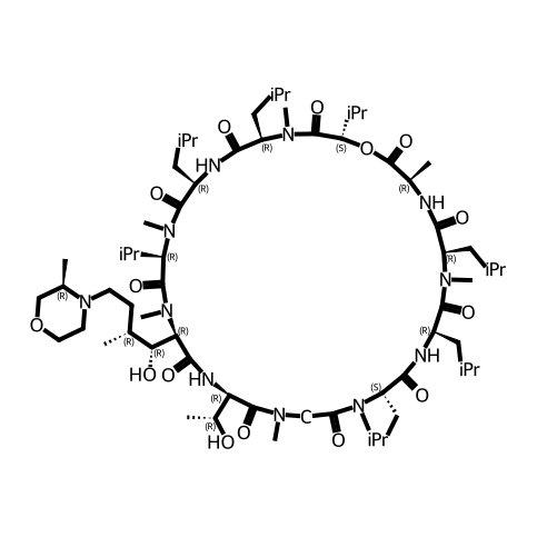 CC(C)C[C@@H]1C(=O)N[C@H](CC(C)C)C(=O)N(C)[C@H](C(C)C)C(=O)N(C)[C@H]([C@H](O)[C@H](C)CCN2CCOC[C@H]2C)C(=O)N[C@H]([C@@H](C)O)C(=O)N(C)CC(=O)N(C)[C@@H](CC(C)C)C(=O)N[C@H](CC(C)C)C(=O)N(C)[C@H](CC(C)C)C(=O)N[C@H](C)C(=O)O[C@@H](C(C)C)C(=O)N1C